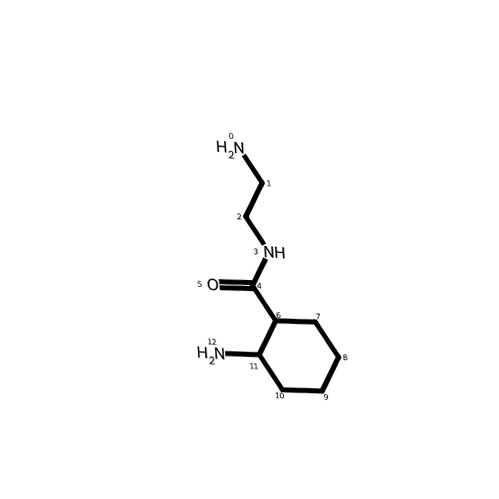 NCCNC(=O)C1CCCCC1N